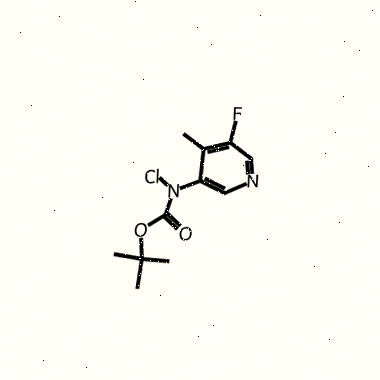 Cc1c(F)cncc1N(Cl)C(=O)OC(C)(C)C